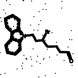 O=CCCCC(Br)CCn1c2ccccc2c2ccccc21